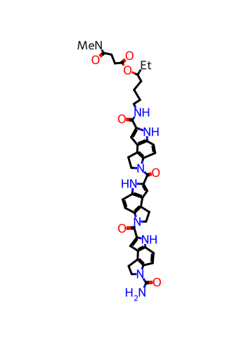 CCC(CCCCNC(=O)c1cc2c3c(ccc2[nH]1)N(C(=O)c1cc2c4c(ccc2[nH]1)N(C(=O)c1cc2c5c(ccc2[nH]1)N(C(N)=O)CC5)CC4)CC3)OC(=O)CCC(=O)NC